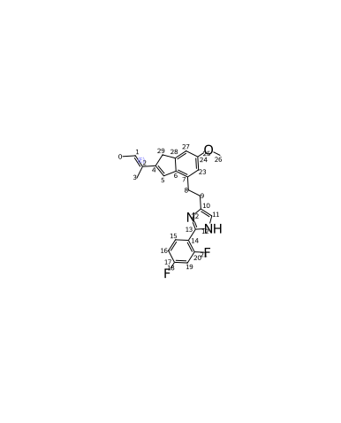 C/C=C(\C)C1=Cc2c(CCc3c[nH]c(-c4ccc(F)cc4F)n3)cc(OC)cc2C1